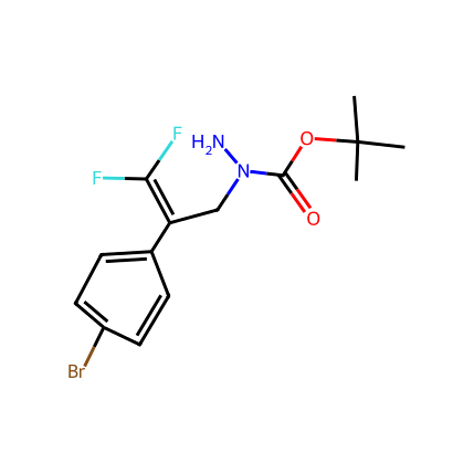 CC(C)(C)OC(=O)N(N)CC(=C(F)F)c1ccc(Br)cc1